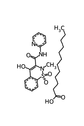 CCCCCCCCCCCC(=O)O.CN1C(C(=O)Nc2ccccn2)=C(O)c2ccccc2S1(=O)=O